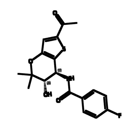 CC(=O)c1cc2c(s1)[C@@H](NC(=O)c1ccc(F)cc1)[C@H](O)C(C)(C)O2